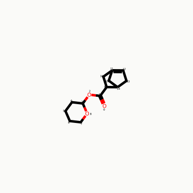 O=C(OC1CCCCO1)C1CC2=CCC1C2